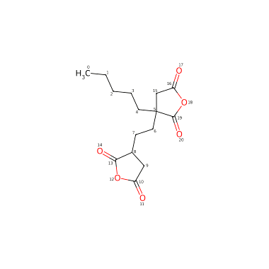 CCCCCC1(CCC2CC(=O)OC2=O)CC(=O)OC1=O